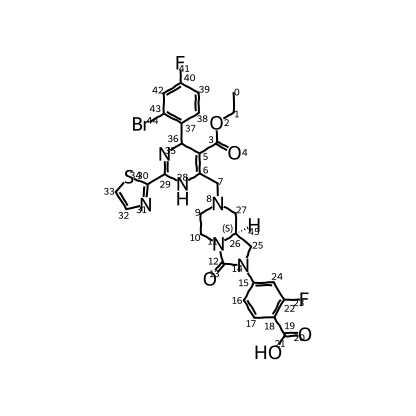 CCOC(=O)C1=C(CN2CCN3C(=O)N(c4ccc(C(=O)O)c(F)c4)C[C@@H]3C2)NC(c2nccs2)=NC1c1ccc(F)cc1Br